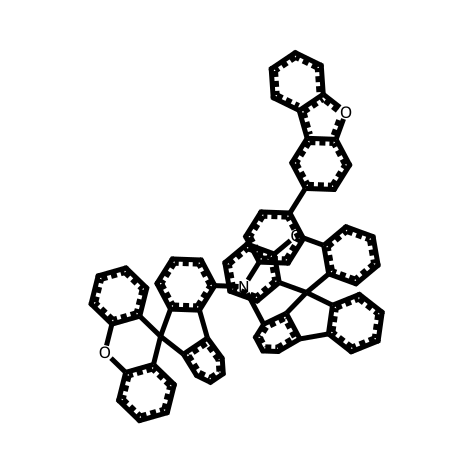 c1ccc2c(c1)Oc1ccccc1C21c2ccccc2-c2c(N(c3ccc(-c4ccc5oc6ccccc6c5c4)cc3)c3cccc4c3C3(c5ccccc5Oc5ccccc53)c3ccccc3-4)cccc21